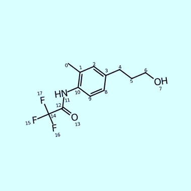 Cc1cc(CCCO)ccc1NC(=O)C(F)(F)F